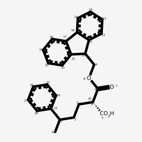 CC(CC[C@@H](C(=O)O)C(=O)OCC1c2ccccc2-c2ccccc21)c1ccccc1